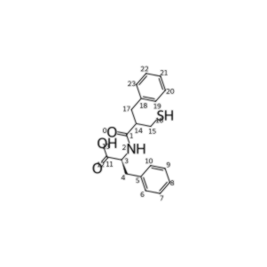 O=C(N[C@@H](Cc1ccccc1)C(=O)O)C(CS)Cc1ccccc1